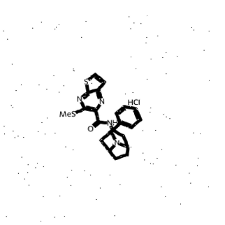 CSc1nc2sccc2nc1C(=O)NC1CC2CCC(C1)N2Cc1ccccc1.Cl